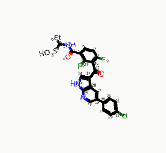 CCC(NC(=O)c1ccc(F)c(C(=O)c2c[nH]c3ncc(-c4ccc(Cl)cc4)cc23)c1F)S(=O)(=O)O